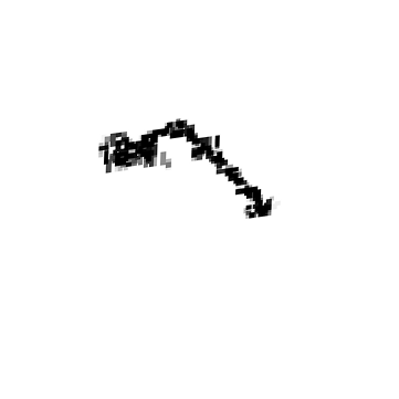 CCOCc1nc2c(N)nc3cc(CCCN4CCN(CCCCNC(=O)CCOCCOCCOCCOCCOCCN5C(=O)C=CC5=O)CC4)ccc3c2n1CC(C)(CO)CO